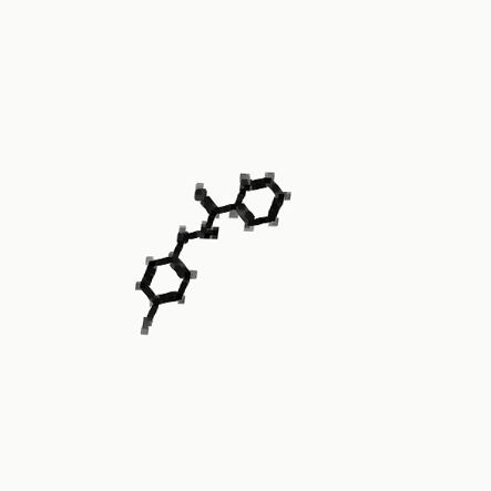 O=C(NOc1ccc(F)cc1)c1ccccn1